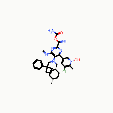 C=Nc1nc(C(=N)OC(N)=O)nc(-c2cc(Cl)c(C)[n+](O)c2)c1N(CC1(c2ccccc2)CCC1)C[C@H]1CC[C@H](C)CC1